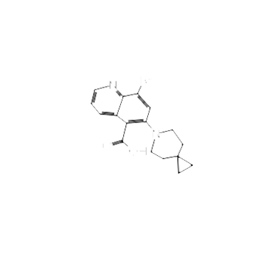 O=C(O)c1c(N2CCC3(CC2)CC3)cc(Br)c2ncccc12